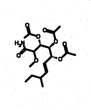 CCC(C)/C=C/[C@@H](OC(C)=O)[C@H](OC(C)=O)[C@@H](OC(C)=O)C(OC)C(N)=O